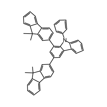 CC1(C)c2ccccc2-c2ccc(-c3cc(-c4ccc5c(c4)C(C)(C)c4ccccc4-5)c4c(c3)c3ccccc3n4-c3ccccc3)cc21